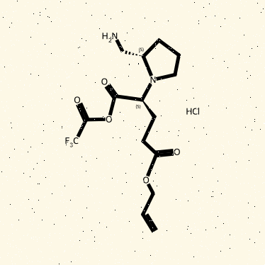 C=CCOC(=O)CC[C@@H](C(=O)OC(=O)C(F)(F)F)N1CCC[C@H]1CN.Cl